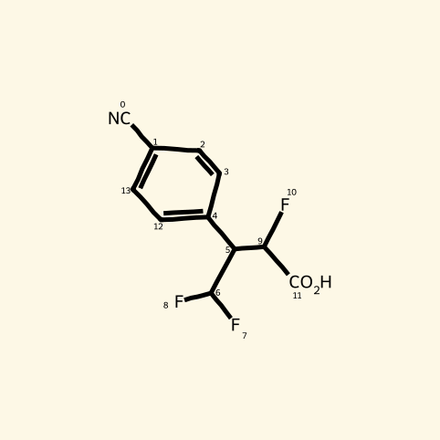 N#Cc1ccc(C(C(F)F)C(F)C(=O)O)cc1